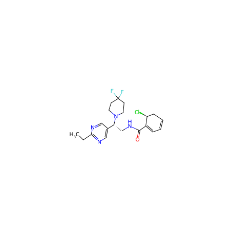 CCc1ncc([C@@H](CNC(=O)C2=CC=CC[C@@H]2Cl)N2CCC(F)(F)CC2)cn1